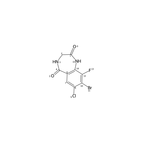 O=C1CNC(=O)c2cc(Cl)c(Br)c(F)c2N1